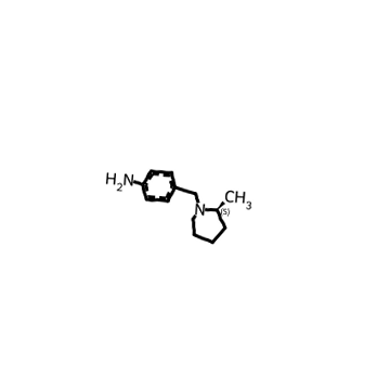 C[C@H]1CCCCN1Cc1ccc(N)cc1